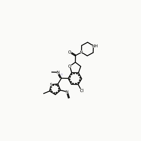 C=Nc1cc(C)sc1/C(=N\C)c1cc(Cl)cc2c1OC(C(=O)N1CCNCC1)C2